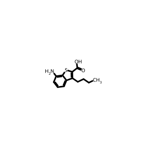 CCCCc1c(C(=O)O)sc2c(N)cccc12